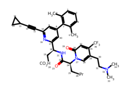 Cc1cccc(C)c1-c1cc(C#CC2CC2)nc([C@H](CC(=O)O)NC(=O)[C@H](CC(C)C)n2cc(CCN(C)C)c(C(F)(F)F)cc2=O)c1